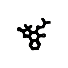 CC(C)COC1=C2C(=NC(=O)C2(C)C)c2ccccc2C1=O